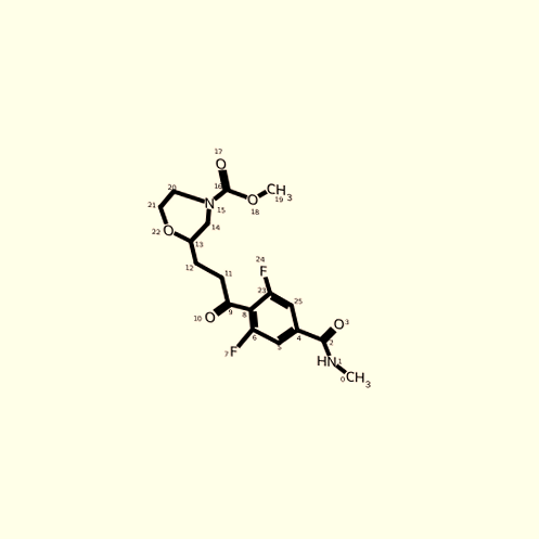 CNC(=O)c1cc(F)c(C(=O)CCC2CN(C(=O)OC)CCO2)c(F)c1